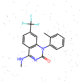 CNc1nc(=O)n(-c2ccccc2C)c2cc(C(F)(F)F)ccc12